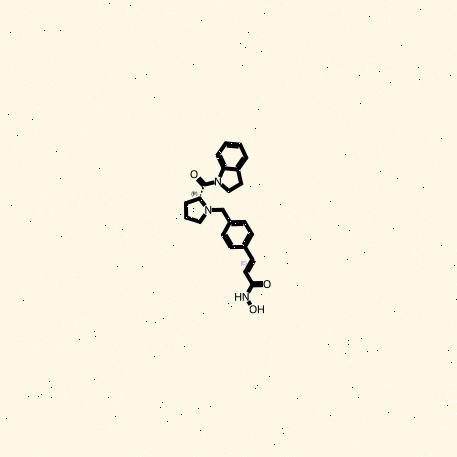 O=C(/C=C/c1ccc(CN2CCC[C@@H]2C(=O)N2CCc3ccccc32)cc1)NO